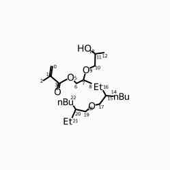 C=C(C)C(=O)OCC(C)OCC(C)O.CCCCC(CC)COCC(CC)CCCC